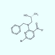 C[C@@H](O)CN(Cc1ccccc1)c1nc(Br)ccc1[N+](=O)[O-]